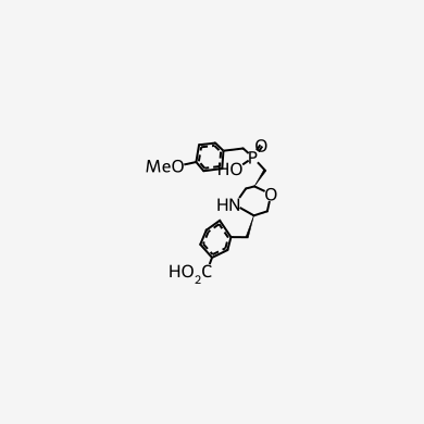 COc1ccc(CP(=O)(O)C[C@@H]2CN[C@H](Cc3cccc(C(=O)O)c3)CO2)cc1